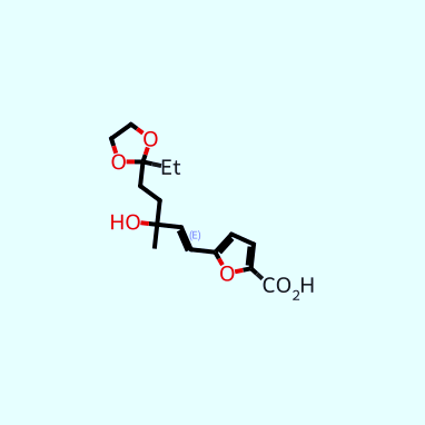 CCC1(CCC(C)(O)/C=C/c2ccc(C(=O)O)o2)OCCO1